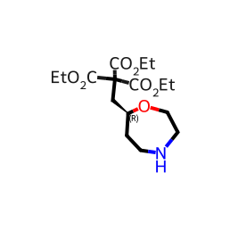 CCOC(=O)C(C[C@@H]1CCNCCO1)(C(=O)OCC)C(=O)OCC